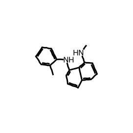 CNc1cccc2cccc(Nc3ccccc3C)c12